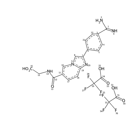 N=C(N)c1ccc(-c2cn3cc(C(=O)NCC(=O)O)ccc3n2)cc1.O=C(O)C(F)(F)F.O=C(O)C(F)(F)F